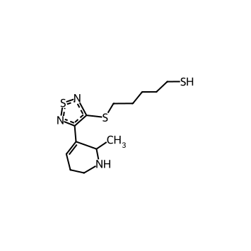 CC1NCCC=C1c1nsnc1SCCCCCS